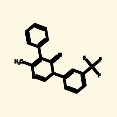 CC1=C(c2ccccc2)C(=O)C(c2cccc(C(F)(F)F)c2)C=N1